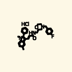 Cc1ccc2c(c1)c(C=CC(=O)NCC1CN(Cc3ccc(F)cc3)CCO1)c(-c1ccccc1)n2C.Cl